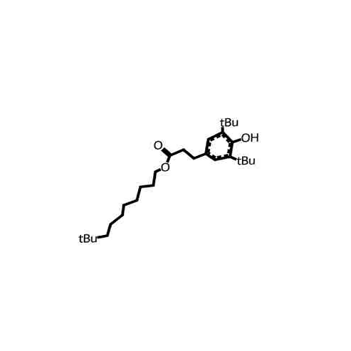 CC(C)(C)CCCCCCCCOC(=O)CCc1cc(C(C)(C)C)c(O)c(C(C)(C)C)c1